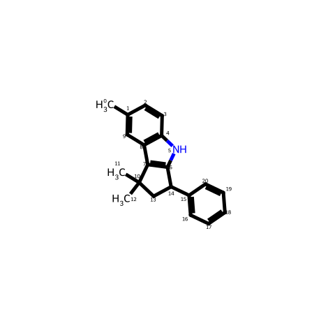 Cc1ccc2[nH]c3c(c2c1)C(C)(C)CC3c1ccccc1